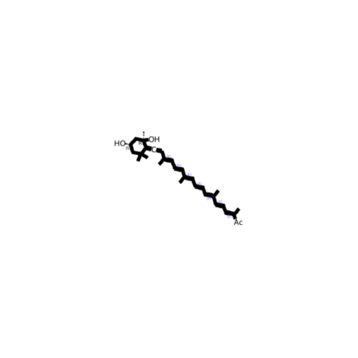 CC(=O)/C(C)=C/C=C/C(C)=C/C=C/C=C(C)/C=C/C=C(\C)C=C=C1C(C)(C)C[C@H](O)C[C@@]1(C)O